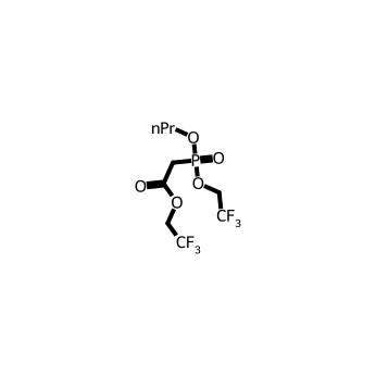 CCCOP(=O)(CC(=O)OCC(F)(F)F)OCC(F)(F)F